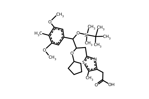 COc1cc(C(O[Si](C)(C)C(C)(C)C)C(Cc2nc(CC(=O)O)c(C)s2)OC2CCCC2)cc(OC)c1C